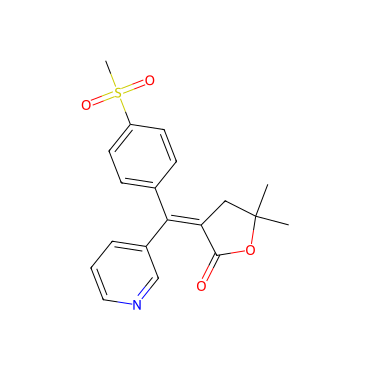 CC1(C)CC(=C(c2ccc(S(C)(=O)=O)cc2)c2cccnc2)C(=O)O1